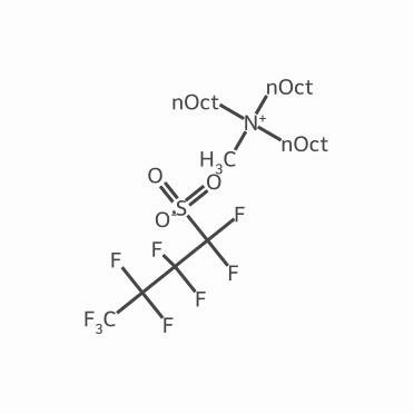 CCCCCCCC[N+](C)(CCCCCCCC)CCCCCCCC.O=S(=O)([O-])C(F)(F)C(F)(F)C(F)(F)C(F)(F)F